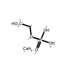 O=C(O)COP(=O)(O)O.[CaH2]